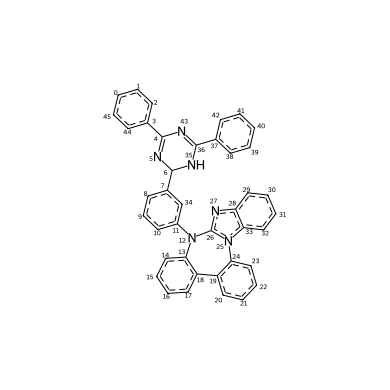 c1ccc(C2=NC(c3cccc(N4c5ccccc5-c5ccccc5-n5c4nc4ccccc45)c3)NC(c3ccccc3)=N2)cc1